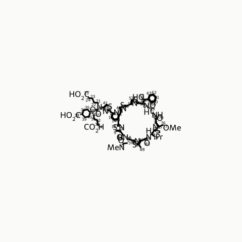 CNC(=O)C[C@@H]1NC(=O)c2csc(n2)-c2ccc(-c3nc(N(CCCCC(=O)O)C(=O)O[C@]4(CCCCC(=O)O)CC[C@@H](C(=O)O)CC4)cs3)nc2-c2csc(n2)-c2csc(n2)[C@H]([C@@H](O)c2ccccc2)NC(=O)CNC(=O)c2nc(sc2COC)C(C(C)C)NC(=O)c2nc1sc2C